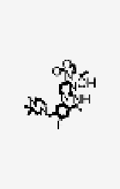 CC(O)[C@H]1COC(=O)N1c1ccnc(N[C@@H](C)c2ccc(CN3CCN(C)C(C)(C)C3)c(F)c2)n1